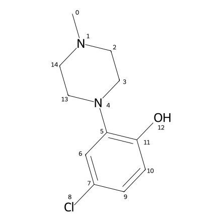 CN1CCN(c2cc(Cl)ccc2O)CC1